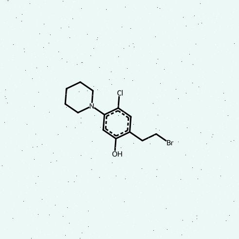 Oc1cc(N2CCCCC2)c(Cl)cc1CCBr